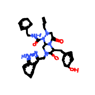 C=CCN1CC(=O)N2C(Cc3ccc(O)cc3)C(=O)N(Cc3n[nH]c4ccccc34)CC2N1C(=O)NCc1ccccc1